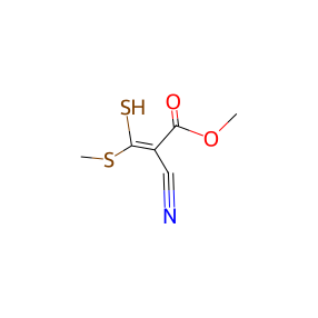 COC(=O)/C(C#N)=C(\S)SC